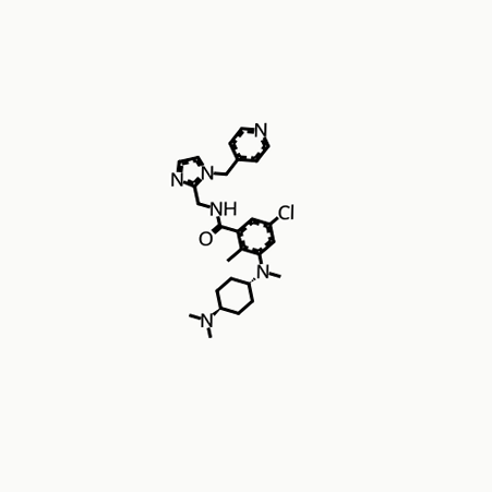 Cc1c(C(=O)NCc2nccn2Cc2ccncc2)cc(Cl)cc1N(C)[C@H]1CC[C@H](N(C)C)CC1